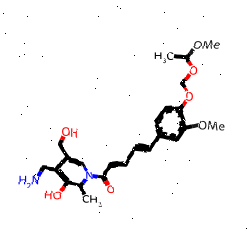 COc1cc(/C=C/C=C/C(=O)N2C=C(CO)C(CN)=C(O)C2C)ccc1OCOC(C)OC